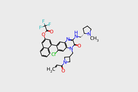 C=CC(=O)N1CC(Cn2c(=O)c(NC[C@@H]3CCCN3C)nc3cc(-c4cc(OC(=O)C(F)(F)F)cc5ccccc45)c(Cl)cc32)C1